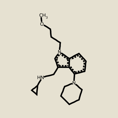 COCCCn1cc(CNC2CC2)c2c(N3CCCCC3)cccc21